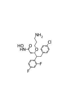 NCCCO[C@H](CC(=O)NO)C(Cc1ccc(Cl)cc1)c1ccc(F)cc1F